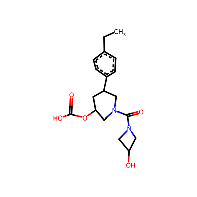 CCc1ccc(C2CC(OC(=O)O)CN(C(=O)N3CC(O)C3)C2)cc1